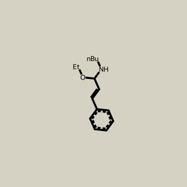 CCCCNC(C=Cc1ccccc1)OCC